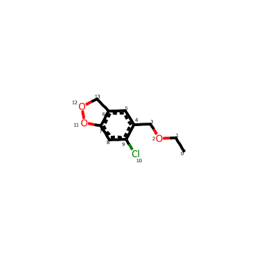 CCOCc1cc2c(cc1Cl)OOC2